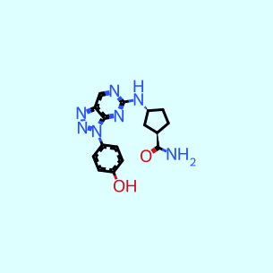 NC(=O)[C@@H]1CC[C@@H](Nc2ncc3nnn(-c4ccc(O)cc4)c3n2)C1